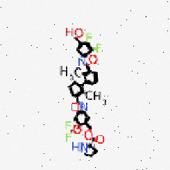 Cc1c(-c2nc3cc(COC(=O)[C@@H]4CCCN4)c(OC(F)F)cc3o2)cccc1-c1cccc(-c2nc3cc(CO)c(F)c(F)c3o2)c1C